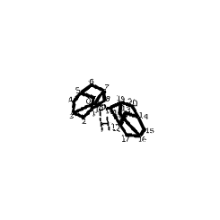 C1C2CC3CC1CC(C2)C3PC1C2CC3CC(C2)CC1C3